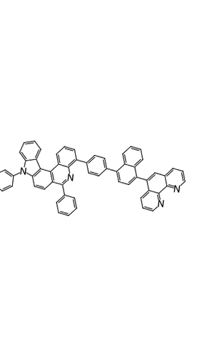 c1ccc(-c2nc3c(-c4ccc(-c5ccc(-c6cc7cccnc7c7ncccc67)c6ccccc56)cc4)cccc3c3c2ccc2c3c3ccccc3n2-c2ccccc2)cc1